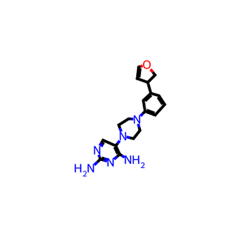 Nc1ncc(N2CCN(c3cccc(C4C=COC4)c3)CC2)c(N)n1